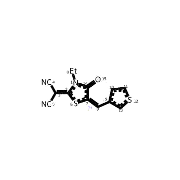 CCn1c(=C(C#N)C#N)s/c(=C/c2ccsc2)c1=O